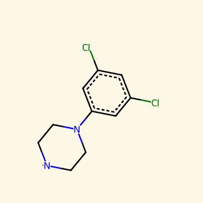 Clc1cc(Cl)cc(N2CC[N]CC2)c1